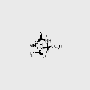 NC(=O)NC(O)(NC(N)=O)C(=O)O.[AlH3]